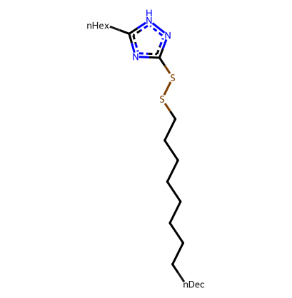 CCCCCCCCCCCCCCCCCCSSc1n[nH]c(CCCCCC)n1